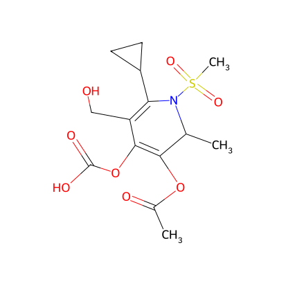 CC(=O)OC1=C(OC(=O)O)C(CO)=C(C2CC2)N(S(C)(=O)=O)C1C